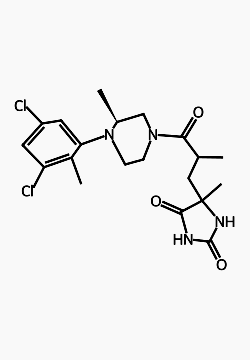 Cc1c(Cl)cc(Cl)cc1N1CCN(C(=O)C(C)CC2(C)NC(=O)NC2=O)C[C@@H]1C